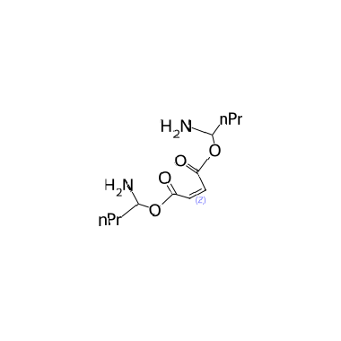 CCCC(N)OC(=O)/C=C\C(=O)OC(N)CCC